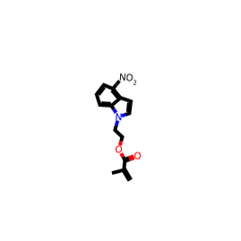 C=C(C)C(=O)OCCn1ccc2c([N+](=O)[O-])cccc21